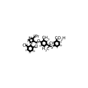 Cc1cc(C(C)(C)Sc2cccc(C(=O)O)c2)ccc1OCc1c(C(C)C)nnn1-c1c(Cl)cccc1Cl